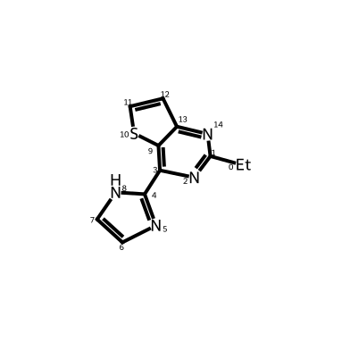 CCc1nc(-c2ncc[nH]2)c2sccc2n1